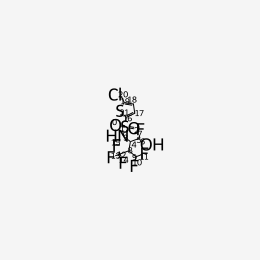 O=S(=O)(NC(C(O)F)C(C(F)F)C(F)(F)F)c1ccc(Cl)s1